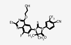 CCc1nc(OCCO)c2cc(N3C(=S)N(c4ccc(C#N)c(C(F)(F)F)c4)C(=O)C3(C)C)cc(F)c2n1